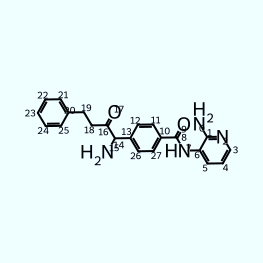 Nc1ncccc1NC(=O)c1ccc(C(N)C(=O)CCc2ccccc2)cc1